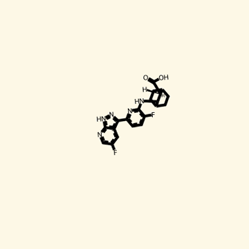 O=C(O)[C@@H]1C2CCC(CC2)C1Nc1nc(-c2n[nH]c3ncc(F)cc23)ccc1F